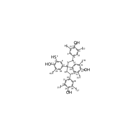 Oc1c(S)cc(C(CCc2cc(I)c(O)c(I)c2)(CCc2cc(I)c(O)c(I)c2)c2cc(I)c(O)c(I)c2)cc1I